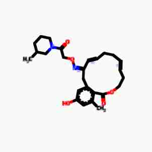 Cc1cc(O)cc2c1C(=O)OCC/C=C/CC/C=C/C(=N\OCC(=O)N1CCCC(C)C1)C2